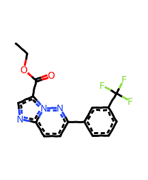 CCOC(=O)c1cnc2ccc(-c3cccc(C(F)(F)F)c3)nn12